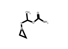 CC(OC(N)=O)SN1CC1